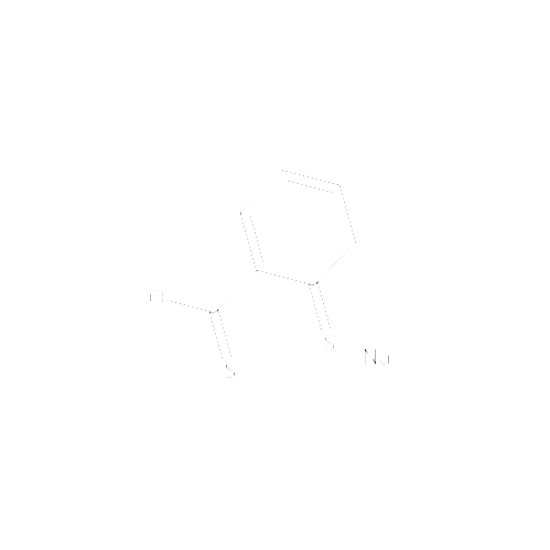 [Na+].[O-]C(=S)C1=CC=CCC1=S